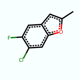 Cc1cc2cc(F)c(Cl)cc2o1